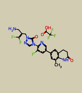 Cc1cc(-c2cnc(-n3cnn(CC(CN)=C(F)F)c3=O)c(F)c2)cc2c1NC(=O)CC2.O=C(O)C(F)(F)F